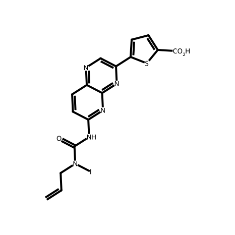 C=CCN(I)C(=O)Nc1ccc2ncc(-c3ccc(C(=O)O)s3)nc2n1